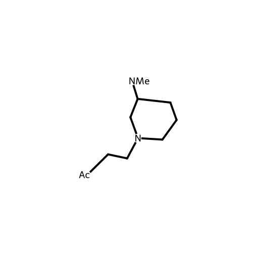 CNC1CCCN(CCC(C)=O)C1